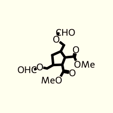 COC(=O)C1C(COC=O)CC(COC=O)C1C(=O)OC